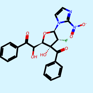 O=C(c1ccccc1)C(O)[C@H]1O[C@@H](n2ccnc2[N+](=O)[O-])[C@H](F)[C@@]1(O)C(=O)c1ccccc1